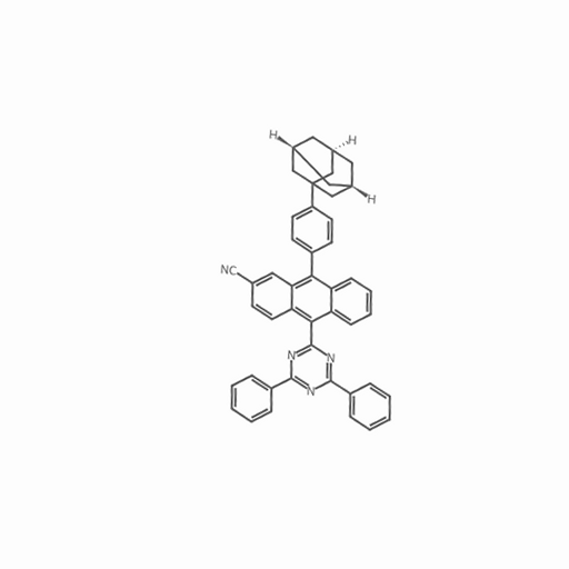 N#Cc1ccc2c(-c3nc(-c4ccccc4)nc(-c4ccccc4)n3)c3ccccc3c(-c3ccc(C45C[C@H]6C[C@@H](C4)C[C@@H](C5)C6)cc3)c2c1